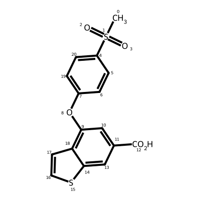 CS(=O)(=O)c1ccc(Oc2cc(C(=O)O)cc3sccc23)cc1